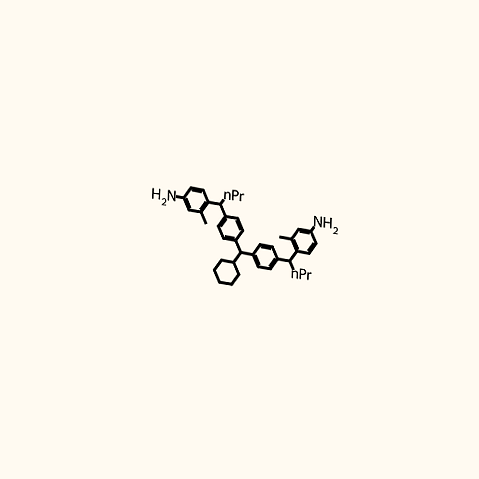 CCCC(c1ccc(C(c2ccc(C(CCC)c3ccc(N)cc3C)cc2)C2CCCCC2)cc1)c1ccc(N)cc1C